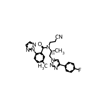 Cc1ccc(-n2nccn2)c(C(=O)N(CCC#N)[C@@H](C)Cn2cc(-c3ccc(F)cc3)nn2)c1